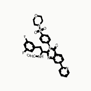 O=CNC(Cc1cc(F)cc(F)c1)c1nc2cc(-c3ccccn3)ccc2c(=O)n1-c1ccc(S(=O)(=O)N2CCOCC2)cc1